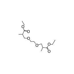 CCOC(=O)C(C)COCCOCC(C)C(=O)OCC